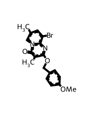 COc1ccc(COc2nc3c(Br)cc(C)cn3c(=O)c2C)cc1